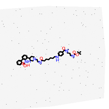 CN(CCN1CCC(c2cccc(-c3ccccc3)c2NC(=O)O)CC1)C(=O)CCCCCCNc1ccc(C(=O)N(C)CCCN(C)C(=O)OC(C)(C)C)cc1